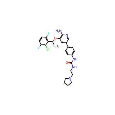 CC(Oc1cc(-c2ccc(NC(=O)NCCN3CCCC3)cc2)cnc1N)c1c(F)ccc(F)c1Cl